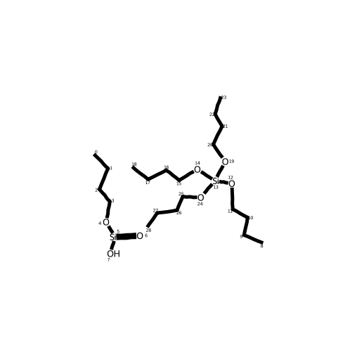 CCCCO[Si](=O)O.CCCCO[Si](OCCCC)(OCCCC)OCCCC